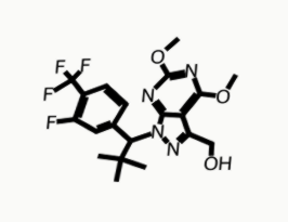 COc1nc(OC)c2c(CO)nn(C(c3ccc(C(F)(F)F)c(F)c3)C(C)(C)C)c2n1